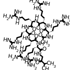 CC(=O)N[C@@H](CCCNC(=N)N)C(=O)N[C@@H](CCCNC(=N)N)C(=O)N[C@@H](CCCNC(=N)N)C(=O)N[C@@H](CCCNC(=N)N)C(=O)N[C@@H](CCCNC(=N)N)C(=O)N[C@@H](CCCNC(=N)N)C(=O)NCC(=O)C(C)C